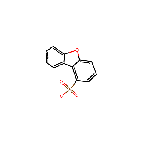 [O]S(=O)(=O)c1cccc2oc3ccccc3c12